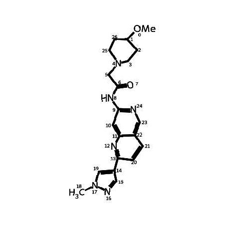 COC1CCN(CC(=O)Nc2cc3nc(-c4cnn(C)c4)ccc3cn2)CC1